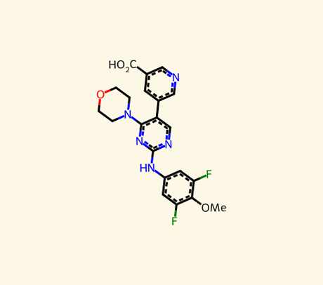 COc1c(F)cc(Nc2ncc(-c3cncc(C(=O)O)c3)c(N3CCOCC3)n2)cc1F